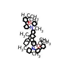 CCC1CC2CC(C)CC(C2)C12c1cc(N(c3ccccc3C)c3cccc4c3oc3c(C(C)(C)C)cccc34)ccc1-c1cc3ccc(N(c4ccccc4C)c4cccc5c4oc4c(C(C)(C)C)cccc45)cc3cc12